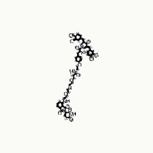 N[C@@H](Cc1ccc(OCCNC(=O)CCOCCOCCOCCNc2cccc3c2C(=O)N(C2CCC(=O)NC2=O)C3=O)cc1)C(=O)N1C/C(=C\c2ccc(Cl)c(Cl)c2)C(=O)/C(=C/c2ccc(Cl)c(Cl)c2)C1